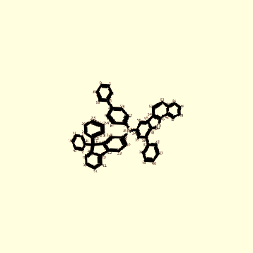 c1ccc(-c2ccc(N(c3ccc4c(c3)C(c3ccccc3)(c3ccccc3)c3ccccc3-4)c3cc(-c4ccccc4)c4oc5c6ccccc6ccc5c4c3)cc2)cc1